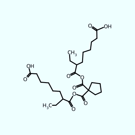 CCC(CCCCCC(=O)O)C(=O)OC(=O)C1(C(=O)OC(=O)C(CC)CCCCCC(=O)O)CCCC1